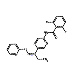 CC/C(=N/Oc1ccccn1)c1cnc(NC(=O)c2c(F)cccc2F)cn1